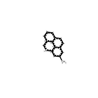 Cc1cc2ccc3cccc4cnc(c1)c2c34